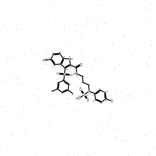 Cc1cc(C)cc(S(=O)(=O)c2c(C(=O)NCCCN(c3ccc(Cl)cc3)S(=O)(=O)O)[nH]c3ccc(Cl)cc23)c1